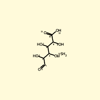 O=CC(O)C(O)C(O)C(O)C(=O)O.S